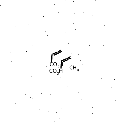 C.C=CC(=O)O.C=CC(=O)O